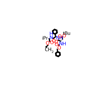 C=CCOC(=O)[C@@H](NC(=O)[C@@H](NC(=O)[C@H](CC(=O)OC(C)(C)C)NC(=O)OCc1ccccc1)c1ccccc1)C(C)C